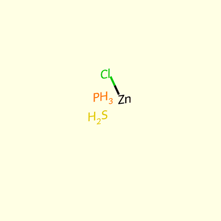 P.S.[Cl][Zn]